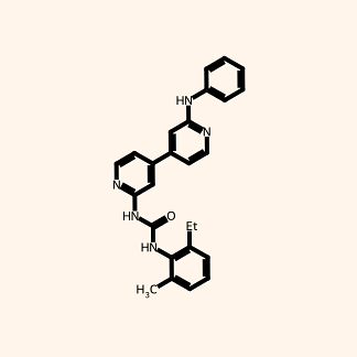 CCc1cccc(C)c1NC(=O)Nc1cc(-c2ccnc(Nc3ccccc3)c2)ccn1